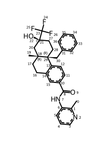 Cc1ncccc1NC(=O)c1ccc2c(c1)CC[C@]1(C)C[C@](O)(C(F)(F)F)CC[C@]21Cc1ccccc1